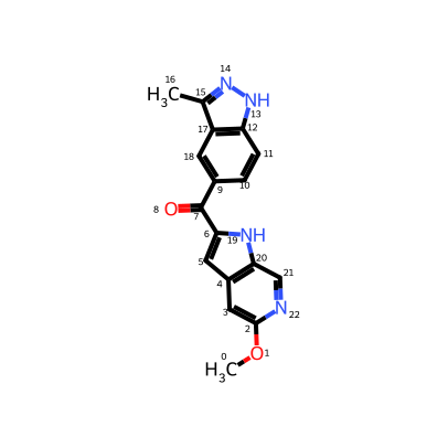 COc1cc2cc(C(=O)c3ccc4[nH]nc(C)c4c3)[nH]c2cn1